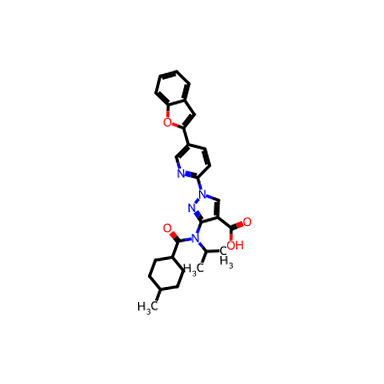 CC1CCC(C(=O)N(c2nn(-c3ccc(-c4cc5ccccc5o4)cn3)cc2C(=O)O)C(C)C)CC1